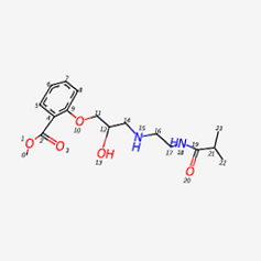 COC(=O)c1ccccc1OCC(O)CNCCNC(=O)C(C)C